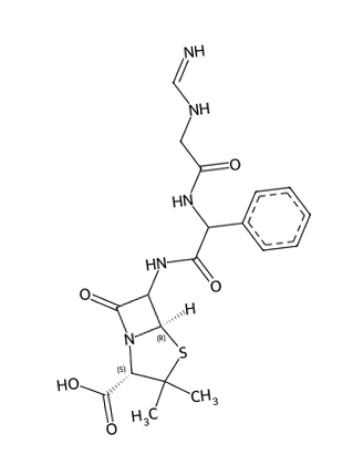 CC1(C)S[C@@H]2C(NC(=O)C(NC(=O)CNC=N)c3ccccc3)C(=O)N2[C@H]1C(=O)O